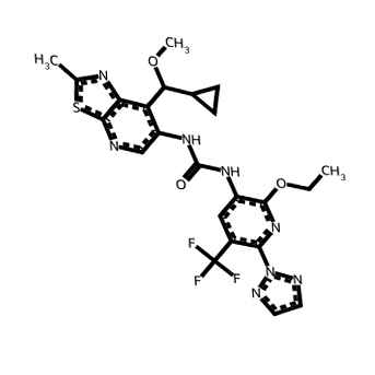 CCOc1nc(-n2nccn2)c(C(F)(F)F)cc1NC(=O)Nc1cnc2sc(C)nc2c1C(OC)C1CC1